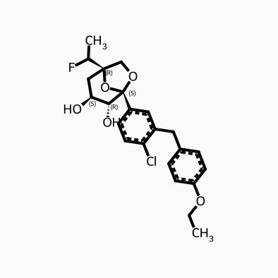 CCOc1ccc(Cc2cc([C@@]34OC[C@@](C(C)F)(C[C@H](O)[C@H]3O)O4)ccc2Cl)cc1